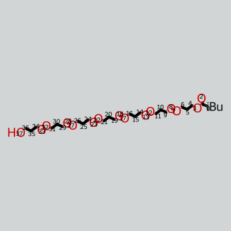 CCC(C)C(=O)OCCCOOCCCOOCCCOOCCCOOCCCOOCCCOOCCCO